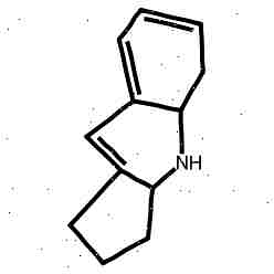 C1=CCC2NC3CCCC3=CC2=C1